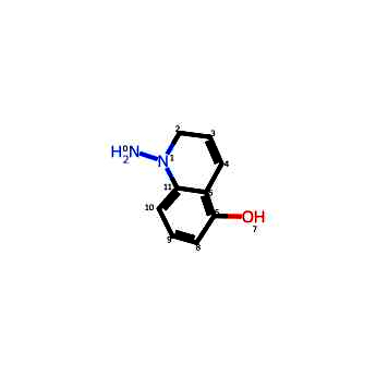 NN1CC=Cc2c(O)cccc21